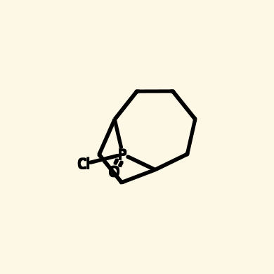 O=P1(Cl)C2CCCCC1CC2